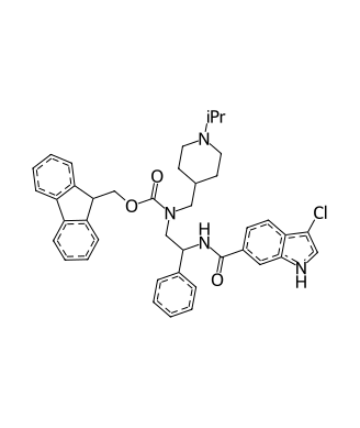 CC(C)N1CCC(CN(CC(NC(=O)c2ccc3c(Cl)c[nH]c3c2)c2ccccc2)C(=O)OCC2c3ccccc3-c3ccccc32)CC1